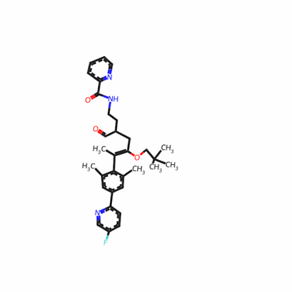 C/C(=C(\CC(C=O)CCNC(=O)c1ccccn1)OCC(C)(C)C)c1c(C)cc(-c2ccc(F)cn2)cc1C